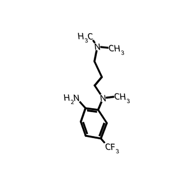 CN(C)CCCN(C)c1cc(C(F)(F)F)ccc1N